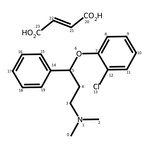 CN(C)CCC(Oc1ccccc1Cl)c1ccccc1.O=C(O)C=CC(=O)O